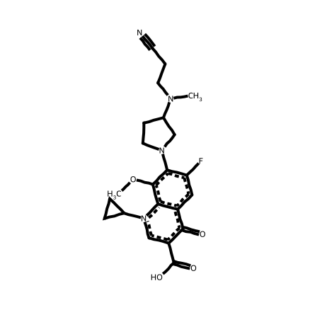 COc1c(N2CCC(N(C)CCC#N)C2)c(F)cc2c(=O)c(C(=O)O)cn(C3CC3)c12